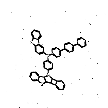 c1ccc(-c2ccc(-c3ccc(N(c4ccc(N5C6c7ccccc7SC6C6c7ccccc7C65)cc4)c4ccc5sc6ccccc6c5c4)cc3)cc2)cc1